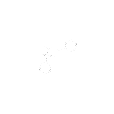 CN(CCc1ccccc1)S(=O)(=O)c1ccccc1